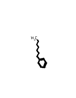 CCCCCCCc1cc[c]cc1